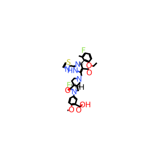 CCOC(=O)C1=C(CN2CC[C@]3(F)C(=O)N(c4ccc(OC)c(C(=O)O)c4)C[C@@H]3C2)NC(c2nccs2)=N[C@H]1c1cccc(F)c1C